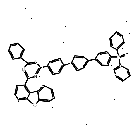 O=P(c1ccccc1)(c1ccccc1)c1ccc(-c2ccc(-c3ccc(-c4nc(-c5ccccc5)nc(-c5cccc6oc7ccccc7c56)n4)cc3)cc2)cc1